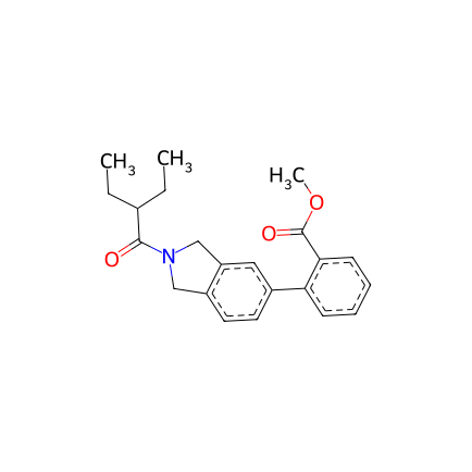 CCC(CC)C(=O)N1Cc2ccc(-c3ccccc3C(=O)OC)cc2C1